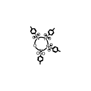 Cc1ccc(S(=O)(=O)N2CCOCCN(S(=O)(=O)c3ccc(C)cc3)CCN(S(=O)(=O)c3ccc(C)cc3)CCN(S(=O)(=O)c3ccc(C)cc3)CC2)cc1